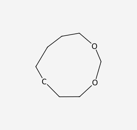 C1CCCOCOCCC1